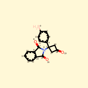 Bc1ccc(C2(N3C(=O)c4ccccc4C3=O)CC(=O)C2)cc1